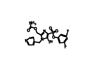 CC(C)c1c(S(=O)(=O)Oc2cc(F)cc(F)c2)nc(COC(N)=O)n1Cc1ccncc1